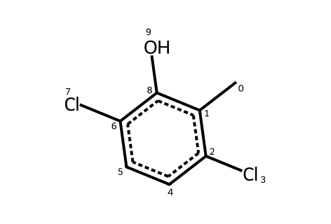 Cc1c(Cl)ccc(Cl)c1O